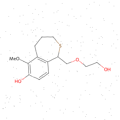 COc1c(O)ccc2c1CCCSC2COCCO